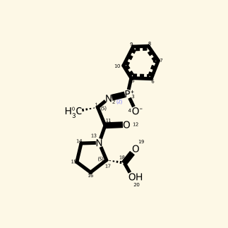 C[C@H](/N=[P+](\[O-])c1ccccc1)C(=O)N1CCC[C@H]1C(=O)O